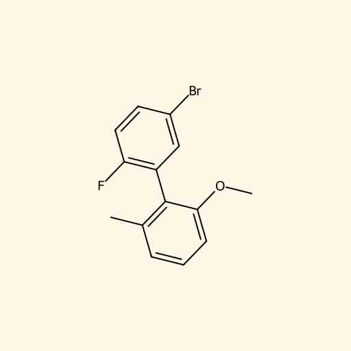 COc1cccc(C)c1-c1cc(Br)ccc1F